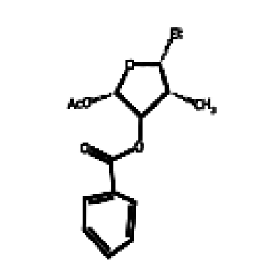 CC[C@H]1O[C@@H](OC(C)=O)C(OC(=O)c2ccccc2)[C@H]1C